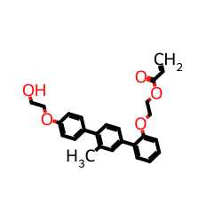 C=CC(=O)OCCOc1ccccc1-c1ccc(-c2ccc(OCCO)cc2)c(C)c1